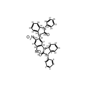 O=c1n(-c2ccccc2)c2ccccc2n1-c1cc(-n2c(=O)n(-c3ccccc3)c3ccccc32)c([N+](=O)[O-])cc1[N+](=O)[O-]